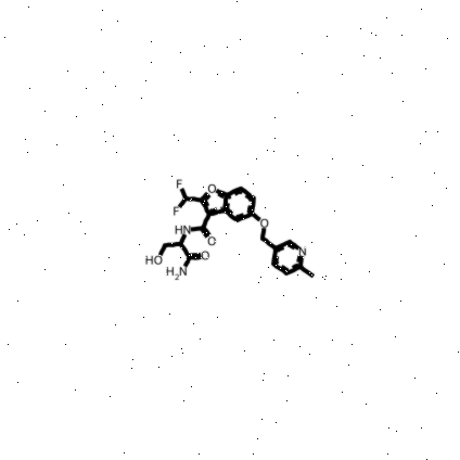 Cc1ccc(COc2ccc3oc(C(F)F)c(C(=O)NC(CO)C(N)=O)c3c2)cn1